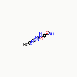 N#Cc1ccc(N2CCN(c3ncc(NC(=O)c4ccc(C5CNCCO5)cc4)cn3)CC2)nc1